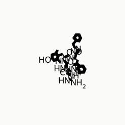 Cc1cc(O)cc(C)c1C[C@H](NC(=O)[C@@H](CCNC(=N)N)NC(=O)O)C(=O)N[C@@H](Cc1c[nH]c2ccccc12)c1nc(Cc2ccccc2)no1